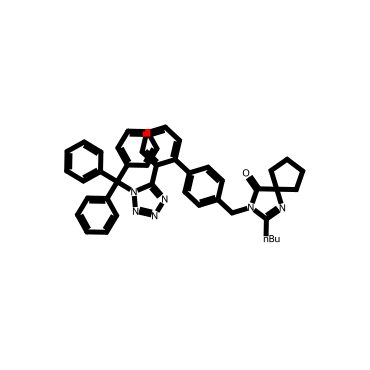 CCCCC1=NC2(CCCC2)C(=O)N1Cc1ccc(-c2ccccc2-c2nnnn2C(c2ccccc2)(c2ccccc2)c2ccccc2)cc1